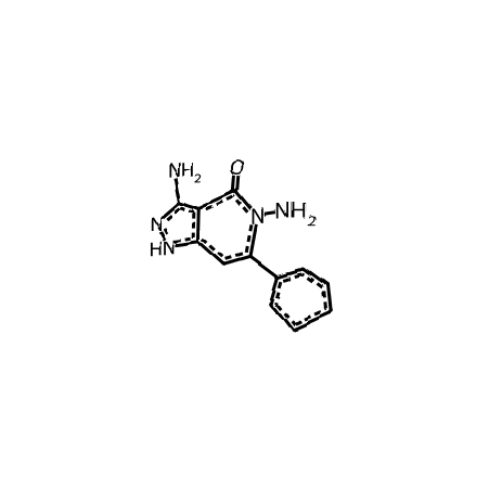 Nc1n[nH]c2cc(-c3ccccc3)n(N)c(=O)c12